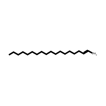 CCCCCCCCCCCCCCCCC=CP